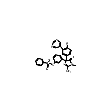 CN1C(=O)C(c2cccc(OS(=O)(=O)c3ccccc3)c2)(c2ccc(F)c(-c3cncnc3)c2)N=C1N